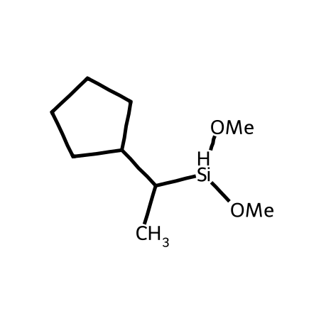 CO[SiH](OC)C(C)C1CCCC1